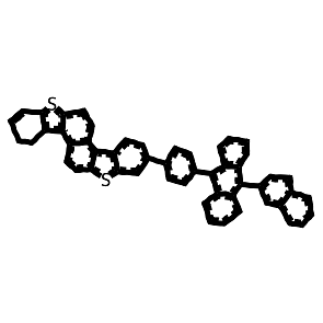 C1=Cc2sc3ccc4c(ccc5sc6cc(-c7ccc(-c8c9ccccc9c(-c9ccc%10ccccc%10c9)c9ccccc89)cc7)ccc6c54)c3c2CC1